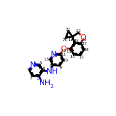 Nc1ccncc1Nc1ccc(Oc2cccc3c2C2(CC2)CO3)nc1